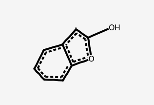 Oc1[c]c2ccccc2o1